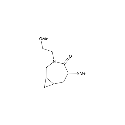 CNC1CC2CC2CN(CCOC)C1=O